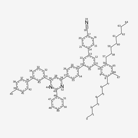 CCCCCCCCc1cc(-c2cc(-c3ccc(C#N)cc3)cc(-c3ccc(-c4cc(-c5cccc(-c6ccc(C)cc6)c5)nc(-c5ccccc5)n4)cc3)c2)c(CCCCCCCC)cc1C